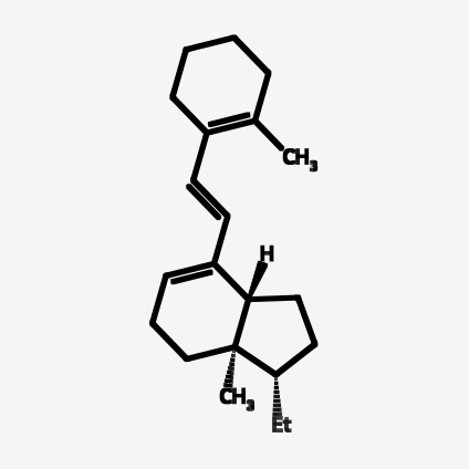 CC[C@H]1CC[C@H]2C(/C=C/C3=C(C)CCCC3)=CCC[C@]12C